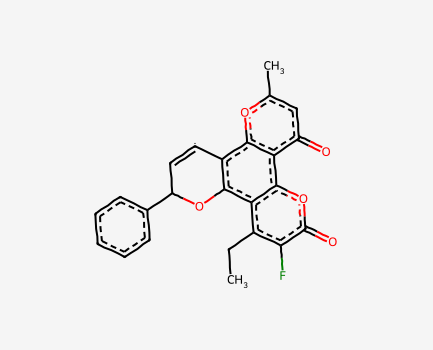 CCc1c(F)c(=O)oc2c1c1c(c3oc(C)cc(=O)c32)[C]=CC(c2ccccc2)O1